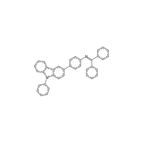 c1ccc(C(=Nc2ccc(-c3ccc4c(c3)c3ccccc3n4-c3ccccc3)cc2)c2ccccc2)cc1